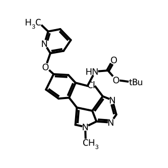 Cc1cccc(Oc2ccc(-c3cn(C)c4ncnc(Cl)c34)c(CNC(=O)OC(C)(C)C)c2)n1